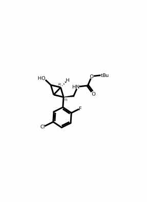 CC(C)(C)OC(=O)NC[C@@]1(c2cc(Cl)ccc2F)C2C(O)[C@H]21